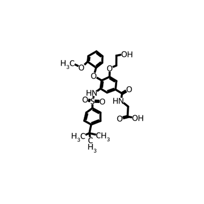 COc1ccccc1Oc1c(NS(=O)(=O)c2ccc(C(C)(C)C)cc2)cc(C(=O)NCC(=O)O)cc1OCCO